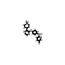 CC(=O)N1CCC(c2nccnc2Oc2ccc(Nc3ccc(C)cn3)cc2)CC1